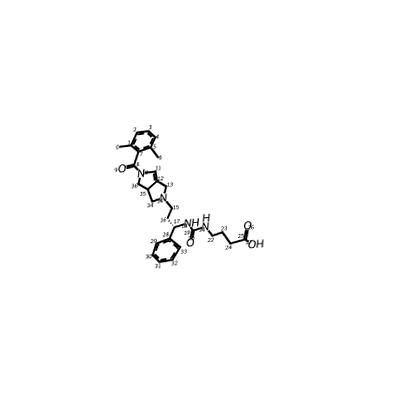 Cc1cccc(C)c1C(=O)N1C=C2CN(CC[C@H](NC(=O)NCCCC(=O)O)c3ccccc3)CC2C1